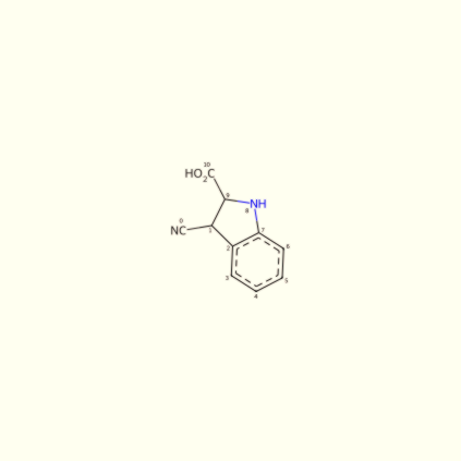 N#CC1c2ccccc2NC1C(=O)O